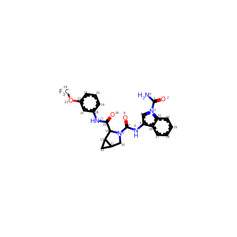 NC(=O)n1cc(NC(=O)N2CC3CC3C2C(=O)Nc2cccc(OC(F)(F)F)c2)c2ccccc21